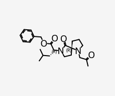 CC(=O)CN1CCC[C@]12CCN([C@H](CC(C)C)C(=O)OCc1ccccc1)C2=O